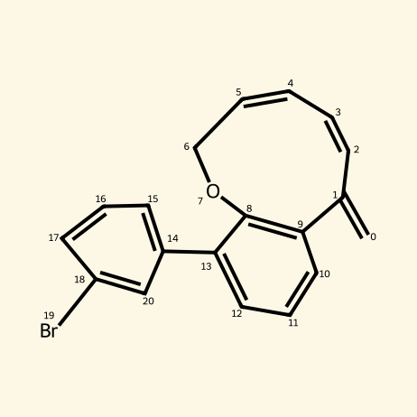 C=C1/C=C\C=C/COc2c1cccc2-c1cccc(Br)c1